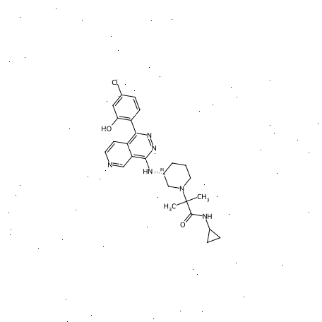 CC(C)(C(=O)NC1CC1)N1CCC[C@@H](Nc2nnc(-c3ccc(Cl)cc3O)c3ccncc23)C1